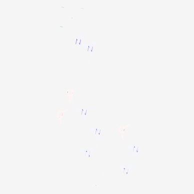 COc1ncnc(C2CC2)c1-c1ncc2c(n1)N(Cc1ccc(-n3nc(C(F)(F)F)cc3C)cc1)C(=O)OC21CCC1